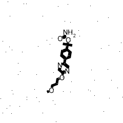 COCCCOc1cnc(-c2ccc(C(C)(C)OC(N)=O)cc2)cn1